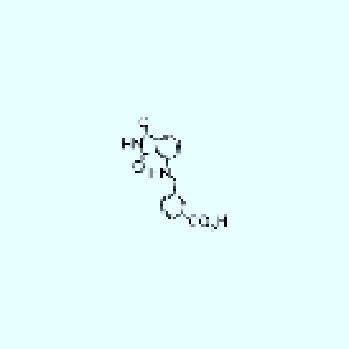 O=C(O)c1cccc(CNc2cccc3c2C(=O)NC3=O)c1